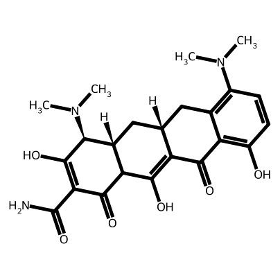 CN(C)c1ccc(O)c2c1C[C@H]1C[C@@H]3C(C(=O)C(C(N)=O)=C(O)[C@H]3N(C)C)C(O)=C1C2=O